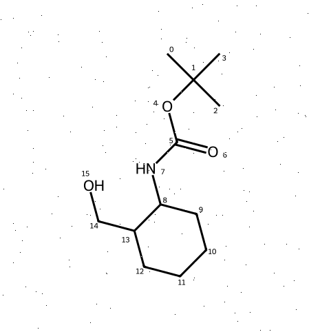 CC(C)(C)OC(=O)NC1CCCCC1CO